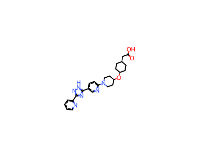 O=C(O)C[C@H]1CC[C@@H](OC2CCN(c3ccc(-c4nc(-c5ccccn5)n[nH]4)cn3)CC2)CC1